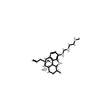 C=CCN1CC[C@]23c4c5ccc(OCOCCOC)c4OC2C(C)CC[C@@]3(O)C1C5